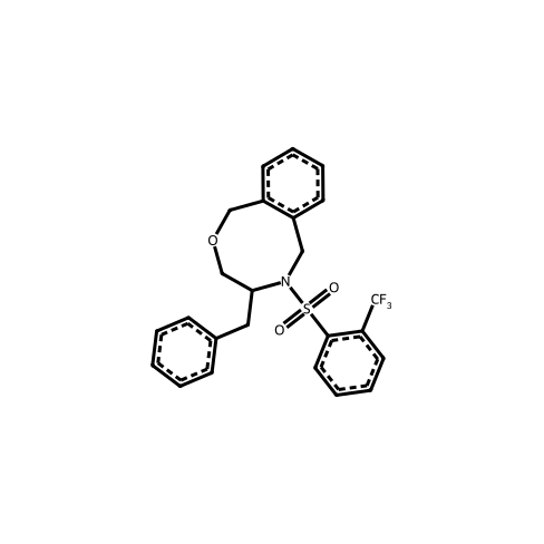 O=S(=O)(c1ccccc1C(F)(F)F)N1Cc2ccccc2COCC1Cc1ccccc1